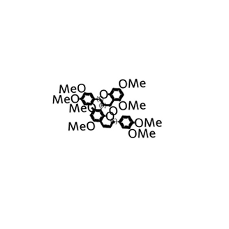 COc1cc(OC)c2c(c1)O[C@H](c1ccc(OC)c(OC)c1)[C@@H](c1c(OC)cc(OC)c3c1O[C@H](c1ccc(OC)c(OC)c1)C=C3)C2=O